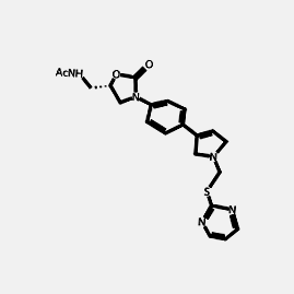 CC(=O)NC[C@H]1CN(c2ccc(C3=CCN(CSc4ncccn4)C3)cc2)C(=O)O1